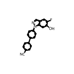 N#Cc1ccc(-c2ccc(-n3ncc4cc(F)c(O)cc43)cc2)cc1